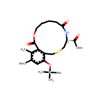 COC(=O)[C@@H]1CSCc2c(O[Si](C)(C)C(C)(C)C)cc(OC)c(C)c2C(=O)OCCCCC(=O)N1